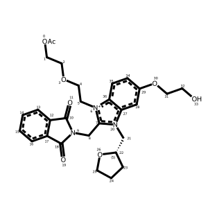 CC(=O)OCCOCC[n+]1c(CN2C(=O)c3ccccc3C2=O)n(C[C@@H]2CCCO2)c2cc(OCCO)ccc21